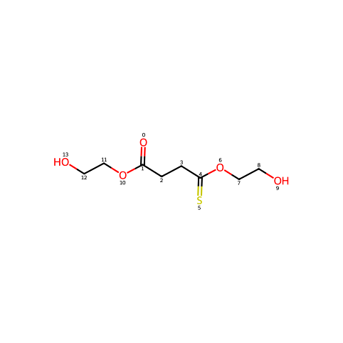 O=C(CCC(=S)OCCO)OCCO